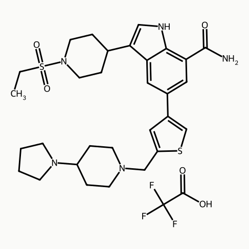 CCS(=O)(=O)N1CCC(c2c[nH]c3c(C(N)=O)cc(-c4csc(CN5CCC(N6CCCC6)CC5)c4)cc23)CC1.O=C(O)C(F)(F)F